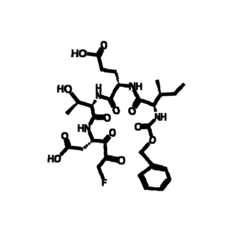 CC[C@H](C)[C@H](NC(=O)OCc1ccccc1)C(=O)N[C@@H](CCC(=O)O)C(=O)N[C@H](C(=O)N[C@@H](CC(=O)O)C(=O)C(=O)CF)[C@@H](C)O